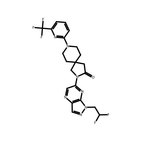 O=C1CC2(CCN(c3cccc(C(F)(F)F)n3)CC2)CN1c1cnc2cnn(CC(F)F)c2n1